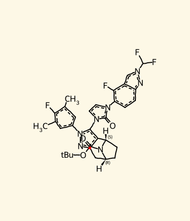 Cc1cc(-n2nc3c(c2-n2ccn(-c4ccc5nn(C(F)F)cc5c4F)c2=O)[C@@H]2CC[C@H](C3)N2C(=O)OC(C)(C)C)cc(C)c1F